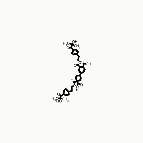 CC(C)(O)C(=O)c1ccc(CCOC(=O)c2cc(C3C=CC(C(=O)O)(C(=O)OCCc4ccc(C(=O)C(C)(C)O)cc4)C=C3)ccc2C(=O)O)cc1